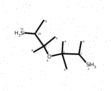 CC([SiH3])C(C)(C)OC(C)(C)C(C)[SiH3]